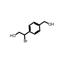 OCc1ccc(C(Br)CO)cc1